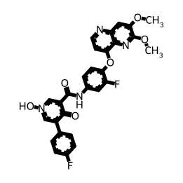 COc1cc2nccc(Oc3ccc(NC(=O)c4cn(O)cc(-c5ccc(F)cc5)c4=O)cc3F)c2nc1OC